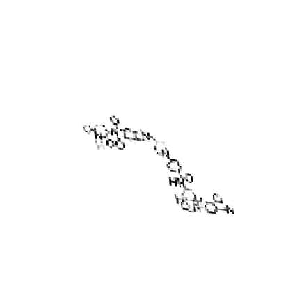 N#Cc1ccc(N2CCO[C@@H]3C[C@H](NC(=O)c4ccc(N5CCC(CN6Cc7cc8c(cc7C6)C(=O)N(C6CCC(=O)NC6=O)C8=O)CC5)cc4)CC[C@H]32)cc1Cl